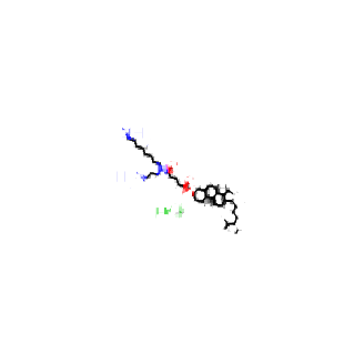 CC[C@H](CC[C@@H](C)[C@H]1CC[C@H]2[C@@H]3CC=C4C[C@@H](OC(=O)CCCC(=O)N(CCCN)CCCCCCCCN)CC[C@]4(C)[C@H]3CC[C@]12C)C(C)C.Cl.Cl